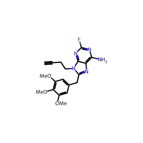 C#CCCn1c(Cc2cc(OC)c(OC)c(OC)c2)nc2c(N)nc(F)nc21